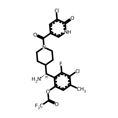 Cc1cc(OC(=O)C(F)(F)F)c([C@H](N)C2CCN(C(=O)c3c[nH]c(=O)c(Cl)c3)CC2)c(F)c1Cl